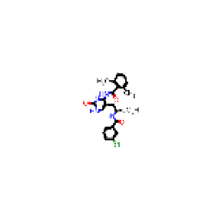 Cc1cccc(C)c1C(=O)Nc1nc(=O)[nH]cc1CC(NC(=O)c1cccc(Cl)c1)C(=O)O